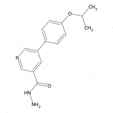 CC(C)Oc1ccc(-c2cncc(C(=O)NN)c2)cc1